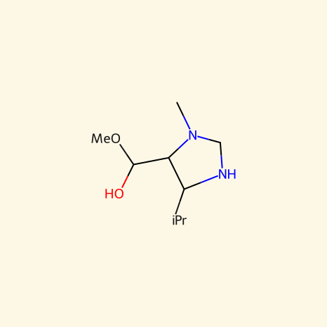 COC(O)C1C(C(C)C)NCN1C